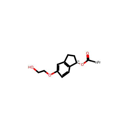 CCCC(=O)O[C@H]1CCc2cc(OCCO)ccc21